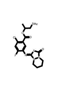 CSCC(C)OC(=O)c1cc(N=c2sc(=O)n3n2CCCC3)c(F)cc1Cl